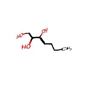 CCCC=C(O)C(O)CO